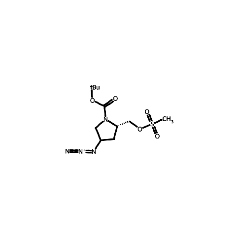 CC(C)(C)OC(=O)N1CC(N=[N+]=[N-])C[C@H]1COS(C)(=O)=O